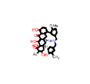 COc1ccc(CNCc2cccc(C)c2)cc1-c1ccc(O)c2c1C[C@H]1C[C@H]3CC(O)=C(C(C)=O)C(=O)[C@@]3(O)C(O)=C1C2=O